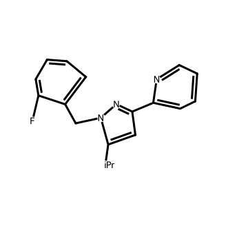 CC(C)c1cc(-c2ccccn2)nn1Cc1ccccc1F